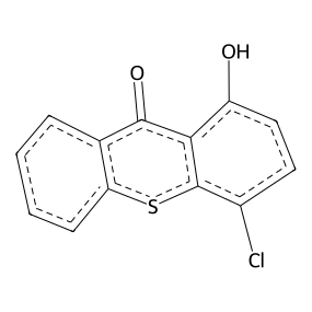 O=c1c2ccccc2sc2c(Cl)ccc(O)c12